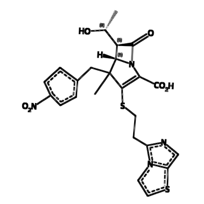 C[C@@H](O)[C@H]1C(=O)N2C(C(=O)O)=C(SCCc3ncc4sccn34)C(C)(Cc3ccc([N+](=O)[O-])cc3)[C@H]12